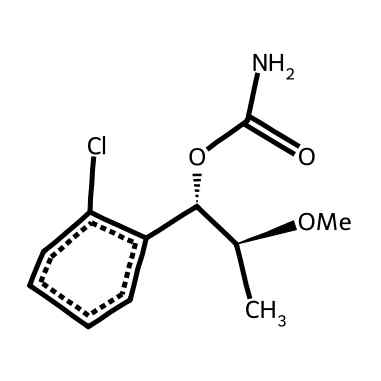 CO[C@@H](C)[C@@H](OC(N)=O)c1ccccc1Cl